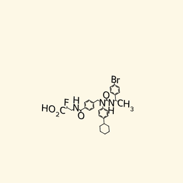 CC(NC(=O)N(Cc1ccc(C(=O)NCC(F)C(=O)O)cc1)c1ccc(C2CCCCC2)cc1)c1ccc(Br)cc1